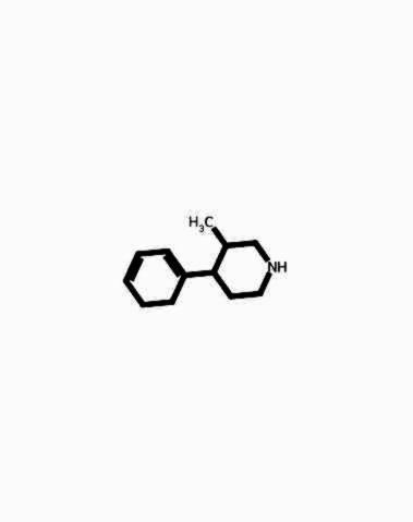 CC1CNCCC1C1=CC=CCC1